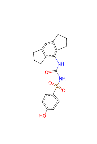 O=C(Nc1c2c(cc3c1CCC3)CCC2)NS(=O)(=O)c1ccc(O)cc1